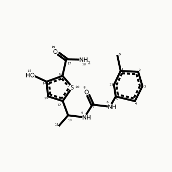 Cc1cccc(NC(=O)NC(C)c2cc(O)c(C(N)=O)s2)c1